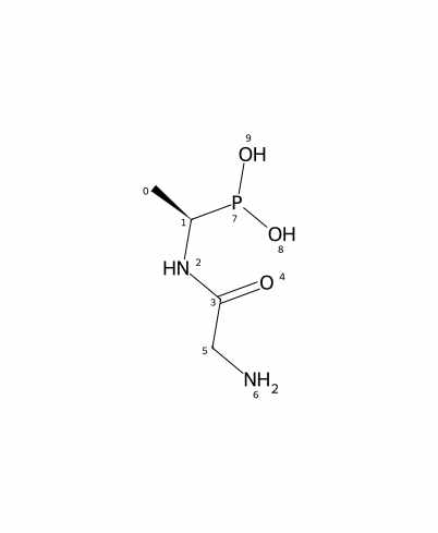 C[C@H](NC(=O)CN)P(O)O